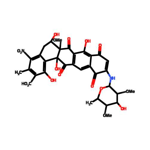 COC1C(C)OC(NC2=CC(=O)c3c(cc4c(c3O)C(=O)C3(OC)C(O)Cc5c([N+](=O)[O-])c(C)c(C(=O)O)c(O)c5C3(O)C4=O)C2=O)C(OC)C1O